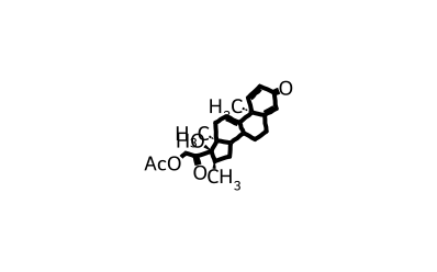 CC(=O)OCC(=O)[C@@]1(O)[C@H](C)CC2C3CCC4=CC(=O)C=C[C@]4(C)C3=CC[C@@]21C